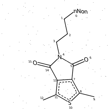 CCCCCCCCCCCCN1C(=O)c2c(C)sc(C)c2C1=O